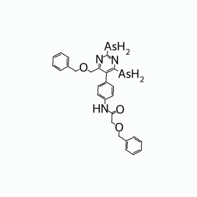 O=C(COCc1ccccc1)Nc1ccc(-c2c([AsH2])nc([AsH2])nc2COCc2ccccc2)cc1